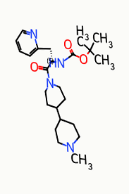 CN1CCC(C2CCN(C(=O)[C@H](Cc3ccccn3)NC(=O)OC(C)(C)C)CC2)CC1